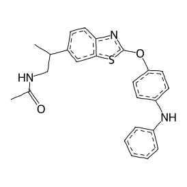 CC(=O)NCC(C)c1ccc2nc(Oc3ccc(Nc4ccccc4)cc3)sc2c1